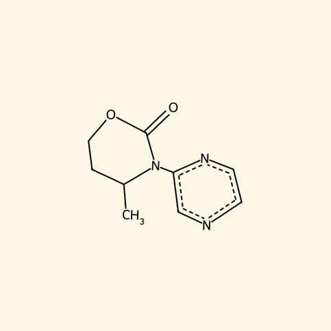 CC1CCOC(=O)N1c1cnccn1